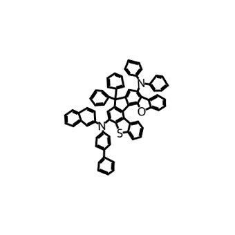 c1ccc(-c2ccc(N(c3ccc4ccccc4c3)c3cc4c(c5c3sc3ccccc35)-c3c(cc(N(c5ccccc5)c5ccccc5)c5c3oc3ccccc35)C4(c3ccccc3)c3ccccc3)cc2)cc1